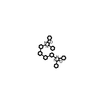 c1ccc(-c2nc(-c3cccc(-c4cccc(-c5cccc(-c6cccc(-c7nc(-c8ccccc8)c8oc9ccccc9c8n7)c6)c5)c4)c3)nc3c2oc2ccccc23)cc1